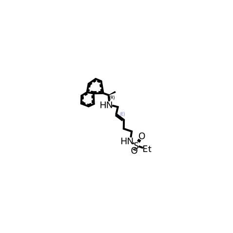 CCS(=O)(=O)NCC/C=C/CN[C@H](C)c1cccc2ccccc12